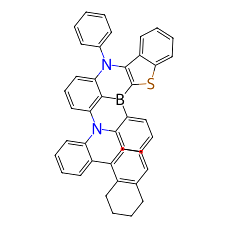 c1ccc(N2c3cccc4c3B(c3ccccc3N4c3ccccc3-c3cccc4c3CCCC4)c3sc4ccccc4c32)cc1